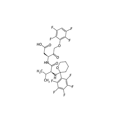 CC(C)[C@H](NC1(c2c(F)c(F)c(F)c(F)c2F)CCCCO1)C(=O)N[C@@H](CC(=O)O)C(=O)COc1c(F)c(F)cc(F)c1F